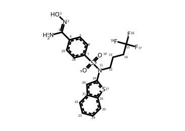 N/C(=N\O)c1ccc(S(=O)(=O)N(CCCC(F)(F)F)c2cc3ccccc3s2)cc1